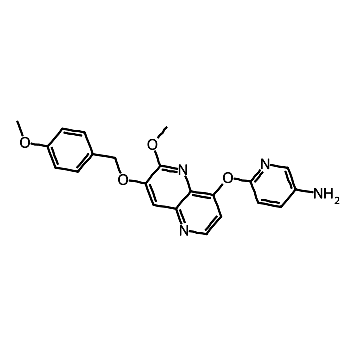 COc1ccc(COc2cc3nccc(Oc4ccc(N)cn4)c3nc2OC)cc1